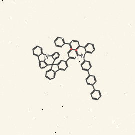 c1ccc(-c2ccc(-c3ccc(N(c4cccc(-c5ccc6c(c5)C5(c7ccccc7-6)c6ccccc6-n6c7ccccc7c7cccc5c76)c4)c4ccccc4-c4ccc(-c5ccccc5)cc4)cc3)cc2)cc1